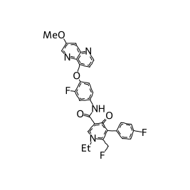 CCn1cc(C(=O)Nc2ccc(Oc3ccnc4cc(OC)cnc34)c(F)c2)c(=O)c(-c2ccc(F)cc2)c1CF